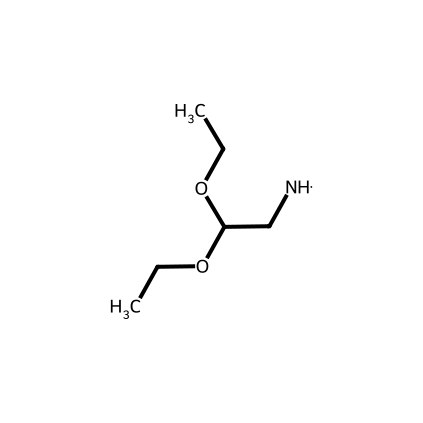 CCOC(C[NH])OCC